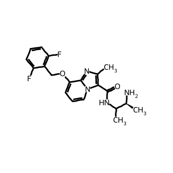 Cc1nc2c(OCc3c(F)cccc3F)cccn2c1C(=O)NC(C)[C@H](C)N